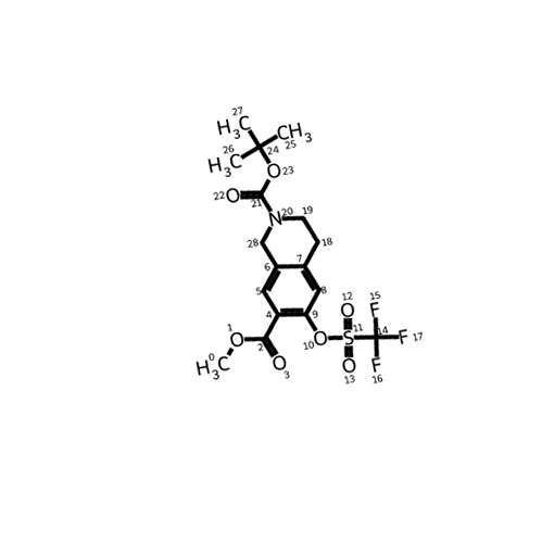 COC(=O)c1cc2c(cc1OS(=O)(=O)C(F)(F)F)CCN(C(=O)OC(C)(C)C)C2